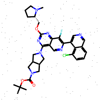 CN1CCC[C@H]1COc1nc(N2CC3CN(C(=O)OC(C)(C)C)CC3C2)c2cnc(-c3cncc4cccc(Cl)c34)c(F)c2n1